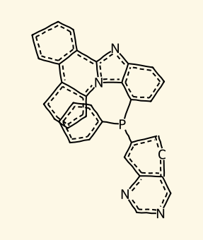 c1ccc(P(c2ccc3cncnc3c2)c2cccc3nc4c5ccccc5c5ccccc5n4c23)cc1